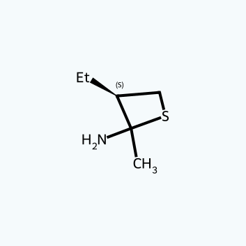 CC[C@H]1CSC1(C)N